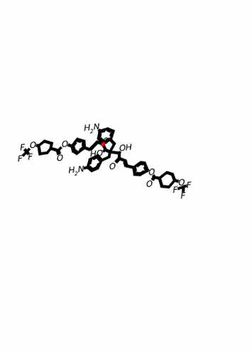 Nc1ccc(CC(Cc2ccc(N)cc2)(C(O)C(=O)/C=C/c2ccc(OC(=O)C3CCC(OC(F)(F)F)CC3)cc2)C(O)C(=O)/C=C/c2ccc(OC(=O)C3CCC(OC(F)(F)F)CC3)cc2)cc1